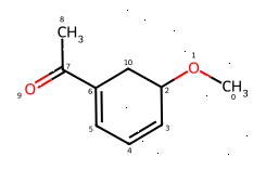 COC1C=CC=C(C(C)=O)C1